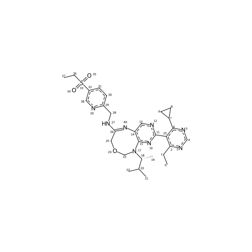 CCc1ncnc(C2CC2)c1-c1ncc2c(n1)N([C@H](C)C(C)C)COC/C(NCc1ccc(S(=O)(=O)CC)cn1)=N\2